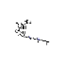 C=CCC(NC(=C)CC(C)(C)C)C(=O)NC(C)CSC/C=C(\C)CC/C=C(\C)CCC=C(C)C